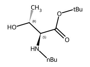 CCCCN[C@H](C(=O)OC(C)(C)C)[C@@H](C)O